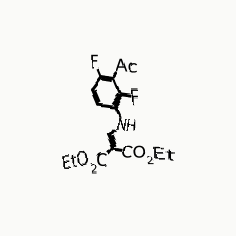 CCOC(=O)C(=CNc1ccc(F)c(C(C)=O)c1F)C(=O)OCC